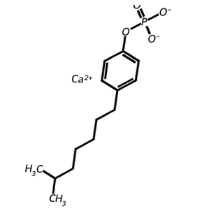 CC(C)CCCCCc1ccc(OP(=O)([O-])[O-])cc1.[Ca+2]